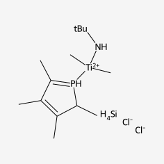 CC1=C(C)C(C)[PH]([Ti+2]([CH3])([CH3])[NH]C(C)(C)C)=C1C.[Cl-].[Cl-].[SiH4]